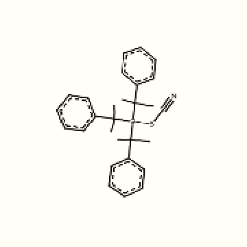 CC(C)(c1ccccc1)[Si](SC#N)(C(C)(C)c1ccccc1)C(C)(C)c1ccccc1